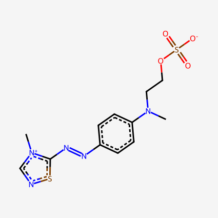 CN(CCOS(=O)(=O)[O-])c1ccc(N=Nc2snc[n+]2C)cc1